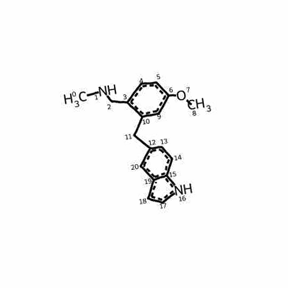 CNCc1ccc(OC)cc1Cc1ccc2[nH]ccc2c1